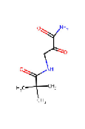 CC(C)(C)C(=O)NCC(=O)C(N)=O